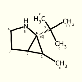 CC1C2CCN[C@@]12C(C)(C)C